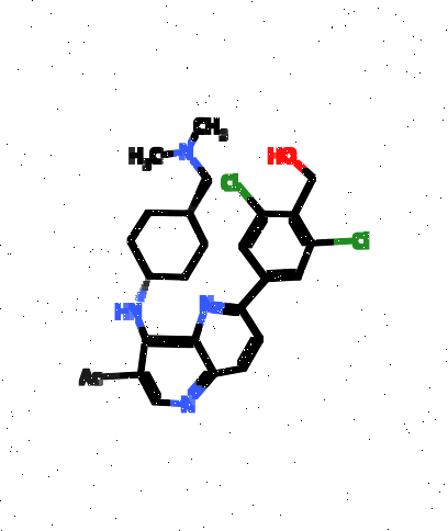 CC(=O)c1cnc2ccc(-c3cc(Cl)c(CO)c(Cl)c3)nc2c1N[C@H]1CC[C@H](CN(C)C)CC1